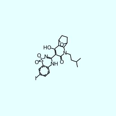 CC(C)CCN1C(=O)C(C2=NS(=O)(=O)c3cc(I)ccc3N2)=C(O)C2C3CCC(O3)C21